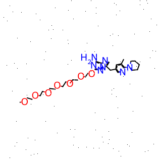 COCCOCCOCCOCCOCCOCCOc1nc(N)c2ncc(Cc3cnc(N4CCCCC4)c(C)c3)n2n1